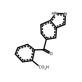 O=C(O)c1ccccc1C(=O)c1ccc2[nH]ncc2c1